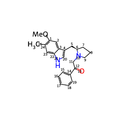 COc1cc2c(C[C@H]3CCCN3CC(=O)c3ccccc3)c[nH]c2cc1C